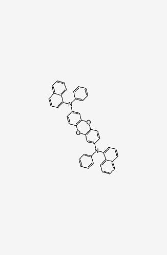 c1ccc(N(c2ccc3c(c2)Oc2ccc(N(c4ccccc4)c4cccc5ccccc45)cc2O3)c2cccc3ccccc23)cc1